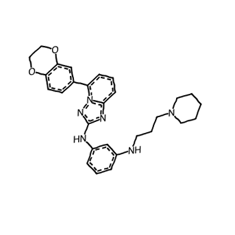 c1cc(NCCCN2CCCCC2)cc(Nc2nc3cccc(-c4ccc5c(c4)OCCO5)n3n2)c1